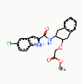 CC(C)(C)OC(=O)COC1Cc2ccccc2CC1NC(=O)c1cc2cc(Cl)ccc2[nH]1